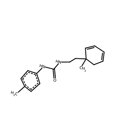 Cc1ccc(NC(=O)NCCC2(C)C=CC=CC2)cc1